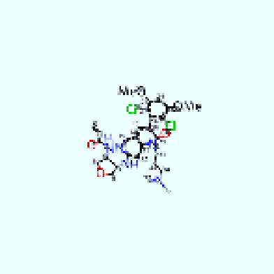 C=CC(=O)NC1COCC1Nc1cc2c(cn1)cc(-c1c(Cl)c(OC)cc(OC)c1Cl)c(=O)n2CCCN(C)C